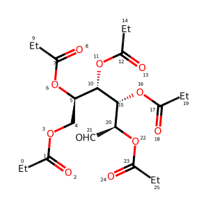 CCC(=O)OC[C@@H](OC(=O)CC)[C@H](OC(=O)CC)[C@H](OC(=O)CC)[C@H](C=O)OC(=O)CC